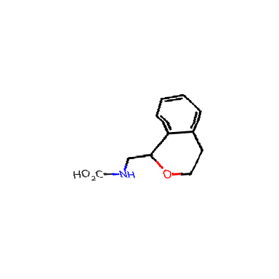 O=C(O)NCC1OCCc2ccccc21